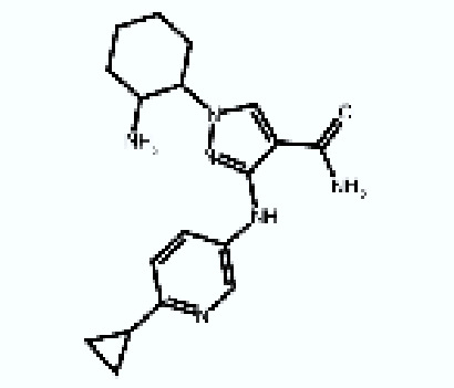 NC(=O)c1cn(C2CCCCC2N)nc1Nc1ccc(C2CC2)nc1